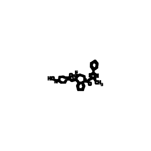 Cc1nc(-c2ccccc2)sc1C(=O)N1CCC(F)(F)C(=CC(=O)N2CCC(=NO)CC2)c2ccccc21